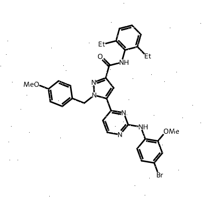 CCc1cccc(CC)c1NC(=O)c1cc(-c2ccnc(Nc3ccc(Br)cc3OC)n2)n(Cc2ccc(OC)cc2)n1